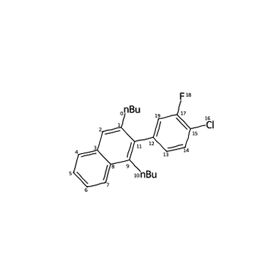 CCCCc1cc2ccccc2c(CCCC)c1-c1ccc(Cl)c(F)c1